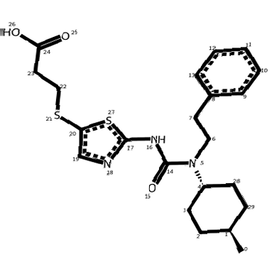 C[C@H]1CC[C@H](N(CCc2ccccc2)C(=O)Nc2ncc(SCCC(=O)O)s2)CC1